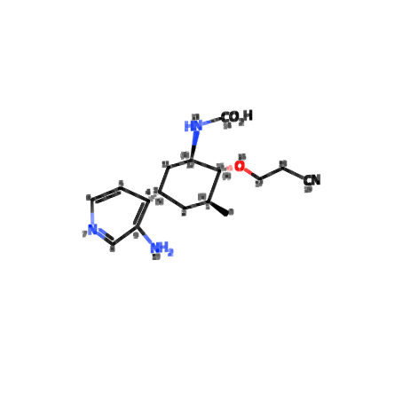 C[C@H]1C[C@H](c2ccncc2N)C[C@@H](NC(=O)O)[C@@H]1OCCC#N